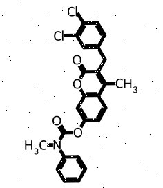 Cc1c(Cc2ccc(Cl)c(Cl)c2)c(=O)oc2cc(OC(=O)N(C)c3ccccc3)ccc12